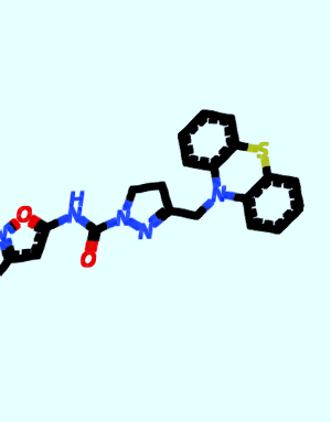 Cc1cc(NC(=O)N2CCC(CN3c4ccccc4Sc4ccccc43)=N2)on1